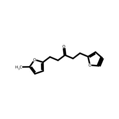 Cc1ccc(CCC(=O)CCc2cc#co2)o1